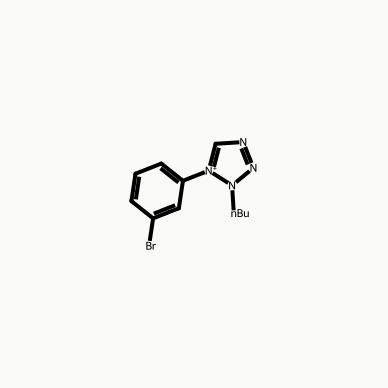 CCCCn1nnc[n+]1-c1cccc(Br)c1